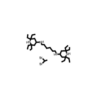 CC(Br)Br.CCC1(CC)CC(NCCCCCCNC2CC(CC)(CC)NC(CC)(CC)C2)CC(CC)(CC)N1